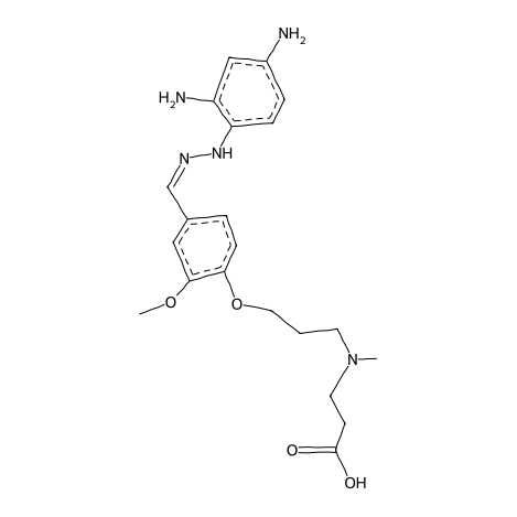 COc1cc(/C=N\Nc2ccc(N)cc2N)ccc1OCCCN(C)CCC(=O)O